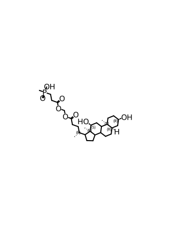 C[C@H](CCC(=O)OCOC(=O)CCP(C)(=O)O)C1CCC2C3CC[C@@H]4C[C@H](O)CC[C@]4(C)C3C[C@H](O)[C@@]21C